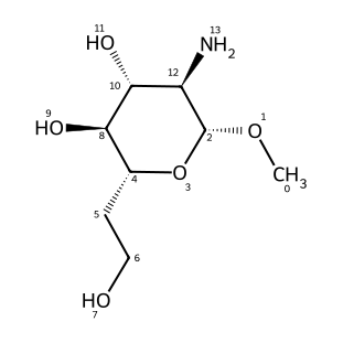 CO[C@@H]1O[C@H](CCO)[C@@H](O)[C@H](O)[C@H]1N